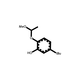 COC(C)Oc1ccc(C(C)(C)C)cc1O